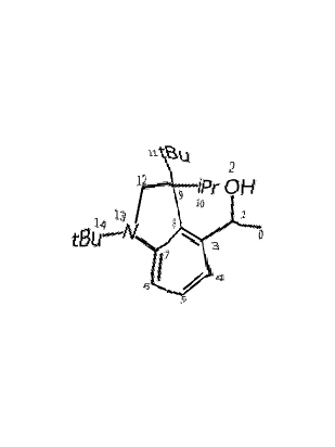 CC(O)c1cccc2c1C(C(C)C)(C(C)(C)C)CN2C(C)(C)C